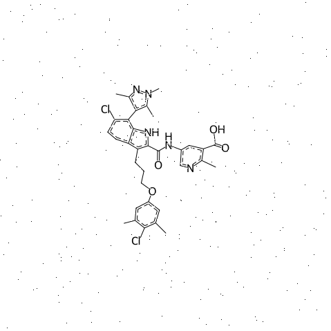 Cc1cc(OCCCc2c(C(=O)Nc3cnc(C)c(C(=O)O)c3)[nH]c3c(-c4c(C)nn(C)c4C)c(Cl)ccc23)cc(C)c1Cl